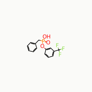 O=P(O)(Cc1ccccc1)Oc1cccc(C(F)(F)F)c1